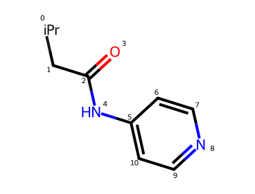 CC(C)CC(=O)Nc1ccncc1